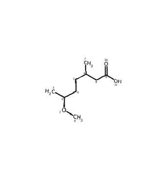 COC(C)CCC(C)CC(=O)O